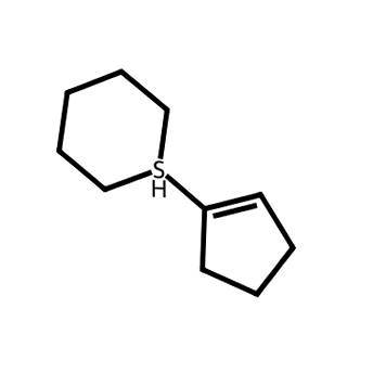 C1=C([SH]2CCCCC2)CCC1